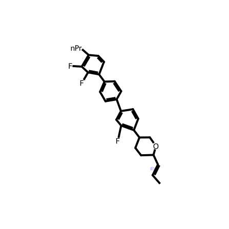 C/C=C/C1CCC(c2ccc(-c3ccc(-c4ccc(CCC)c(F)c4F)cc3)cc2F)CO1